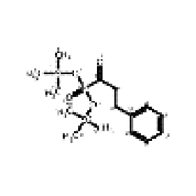 C[Si](C)(C)OP(=O)(O[Si](C)(C)C)C(=O)CCc1ccccc1